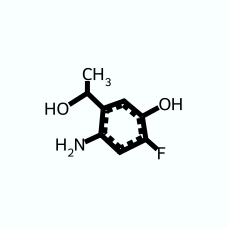 CC(O)c1cc(O)c(F)cc1N